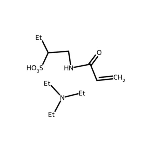 C=CC(=O)NCC(CC)S(=O)(=O)O.CCN(CC)CC